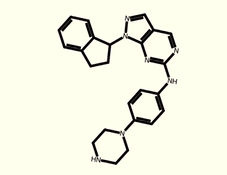 c1ccc2c(c1)CCC2n1ncc2cnc(Nc3ccc(N4CCNCC4)cc3)nc21